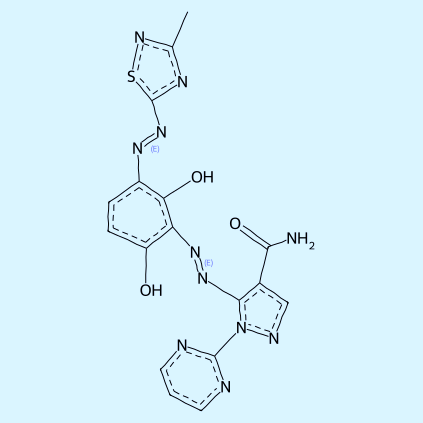 Cc1nsc(/N=N/c2ccc(O)c(/N=N/c3c(C(N)=O)cnn3-c3ncccn3)c2O)n1